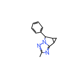 Cc1nc2n(n1)C(c1ccccc1)C1CC21